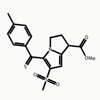 COC(=O)C1CCn2c1cc(S(C)(=O)=O)c2C(=S)c1ccc(C)cc1